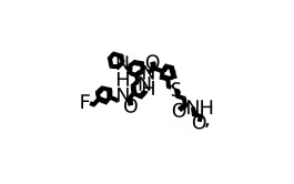 COCCNC(=O)CCSCc1cccc(C(=O)Nc2ccc(N3CCCCC3)cc2-c2cc(C(=O)NCc3cccc(CF)c3)ccn2)c1